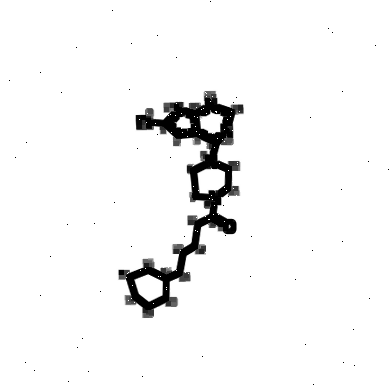 CCc1cc2c(N3CCN(C(=O)CCCCC4CCCCC4)CC3)ncnc2s1